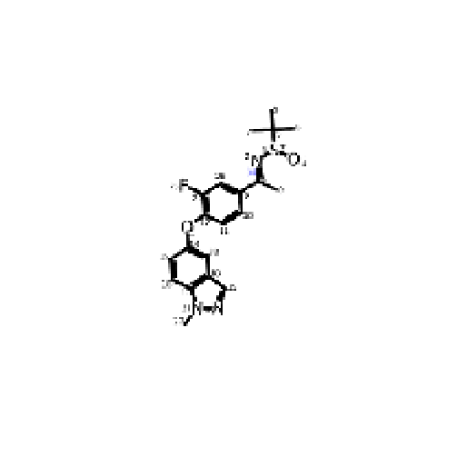 C/C(=N\[S+]([O-])C(C)(C)C)c1ccc(Oc2ccc3c(cnn3C)c2)c(F)c1